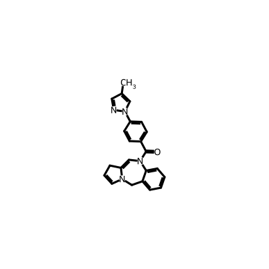 Cc1cnn(-c2ccc(C(=O)N3C=C4CC=CN4Cc4ccccc43)cc2)c1